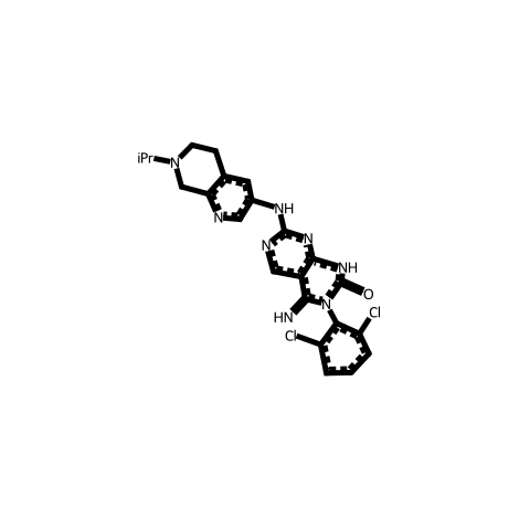 CC(C)N1CCc2cc(Nc3ncc4c(=N)n(-c5c(Cl)cccc5Cl)c(=O)[nH]c4n3)cnc2C1